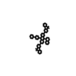 CC1(C)c2ccccc2-c2cc(-c3ccc4c(-c5cccc6ccccc56)c5cc(-c6ccc7c(c6)-c6ccccc6C7(C)C)ccc5c(-c5ccc(-c6ccccc6)cc5)c4c3)ccc21